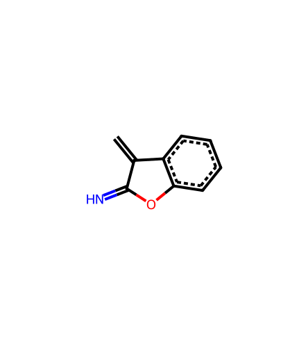 C=C1C(=N)Oc2ccccc21